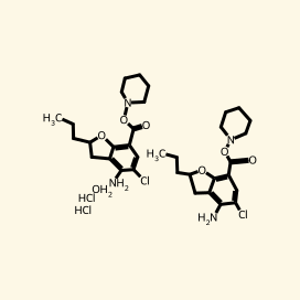 CCCC1Cc2c(N)c(Cl)cc(C(=O)ON3CCCCC3)c2O1.CCCC1Cc2c(N)c(Cl)cc(C(=O)ON3CCCCC3)c2O1.Cl.Cl.O